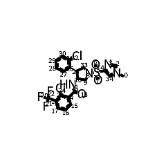 Cn1cnc(S(=O)(=O)N2C[C@H](NC(=O)c3cccc(C(F)(F)F)c3Cl)[C@@H](c3ccccc3Cl)C2)c1